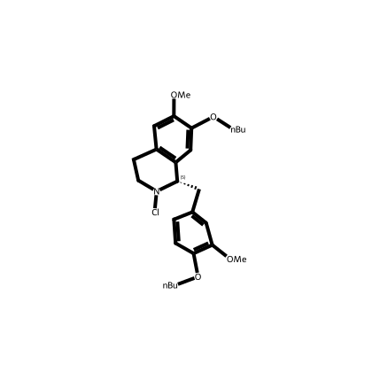 CCCCOc1ccc(C[C@H]2c3cc(OCCCC)c(OC)cc3CCN2Cl)cc1OC